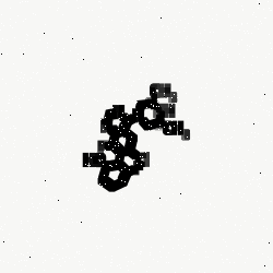 C[C@@H]1CN(c2ncnc3c(F)c(-c4c(O)cccc4F)c(Cl)cc23)C[C@H](C)N1